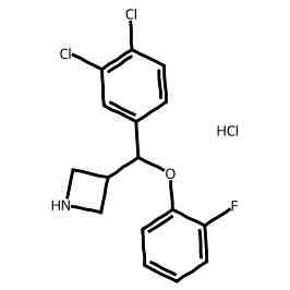 Cl.Fc1ccccc1OC(c1ccc(Cl)c(Cl)c1)C1CNC1